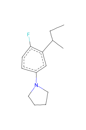 CCC(C)c1cc(N2CCCC2)ccc1F